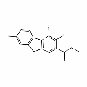 CCC(C)c1cc2c(c(F)c1F)-c1ccc(C)cc1C2